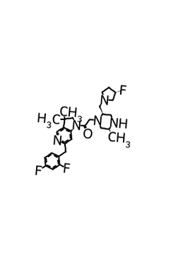 C[C@@H]1CN(CC(=O)N2CC(C)(C)c3cnc(Cc4ccc(F)cc4F)cc32)[C@@H](CN2CC[C@H](F)C2)CN1